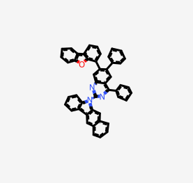 c1ccc(-c2cc3c(-c4ccccc4)nc(-n4c5ccccc5c5cc6ccccc6cc54)nc3cc2-c2cccc3c2oc2ccccc23)cc1